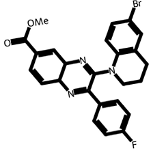 COC(=O)C1=CC2N=C(N3CCCc4cc(Br)ccc43)C(c3ccc(F)cc3)=NC2C=C1